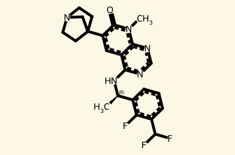 C[C@@H](Nc1ncnc2c1cc(C13CCN(CC1)C3)c(=O)n2C)c1cccc(C(F)F)c1F